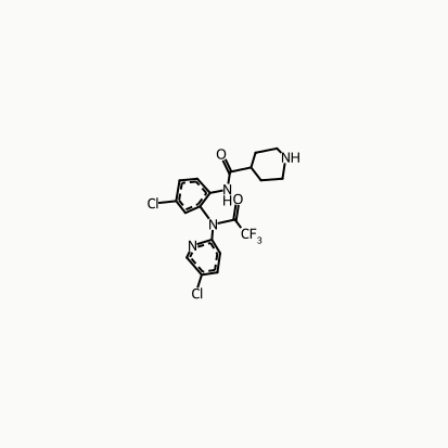 O=C(Nc1ccc(Cl)cc1N(C(=O)C(F)(F)F)c1ccc(Cl)cn1)C1CCNCC1